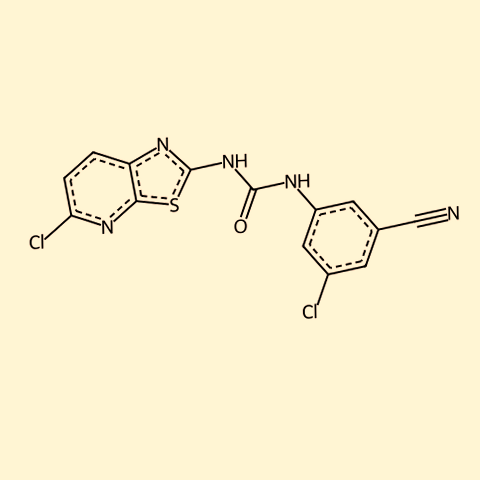 N#Cc1cc(Cl)cc(NC(=O)Nc2nc3ccc(Cl)nc3s2)c1